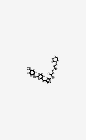 O=C(CCNCCN1CCOCC1)Nc1ncc(Cc2ccnc(Nc3ccc(Cl)cc3)n2)s1